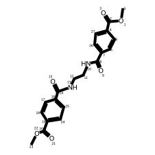 COC(=O)c1ccc(C(=O)NCCNC(=O)c2ccc(C(=O)OC)cc2)cc1